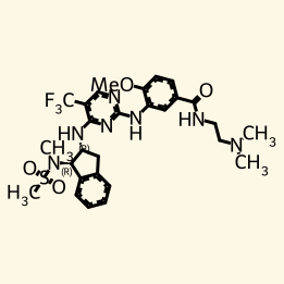 COc1ccc(C(=O)NCCN(C)C)cc1Nc1ncc(C(F)(F)F)c(N[C@@H]2Cc3ccccc3[C@H]2N(C)S(C)(=O)=O)n1